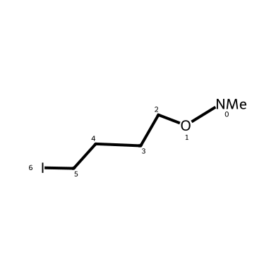 CNOCCCCI